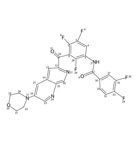 O=C(Nc1cc(F)c(F)c(C(=O)c2cc3cc(N4CCOCC4)cnc3cn2)c1F)c1ccc(F)c(F)c1